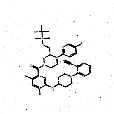 Cc1cc(C)c(C(=O)N2CCN(c3ccc(F)cn3)[C@H](CO[Si](C)(C)C(C)(C)C)C2)cc1NC1CCN(c2ccccc2C#N)CC1